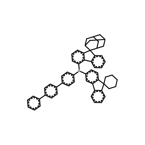 c1ccc(-c2ccc(-c3ccc(N(c4ccc5c(c4)-c4ccccc4C54CCCCC4)c4cccc5c4-c4ccccc4C54C5CC6CC(C5)CC4C6)cc3)cc2)cc1